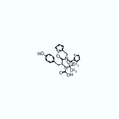 CC(C)(C)N(C(=O)O)[C@@H](Cc1ccc(O)cc1)C(=O)N(Cc1cccs1)Cc1cccs1